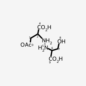 CC(=O)OCC(N)C(=O)O.NC(CO)C(=O)O